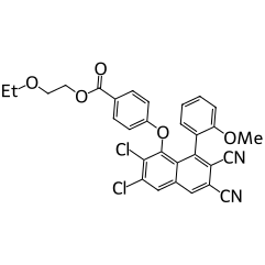 CCOCCOC(=O)c1ccc(Oc2c(Cl)c(Cl)cc3cc(C#N)c(C#N)c(-c4ccccc4OC)c23)cc1